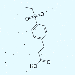 CCS(=O)(=O)c1ccc(CCC(=O)O)cc1